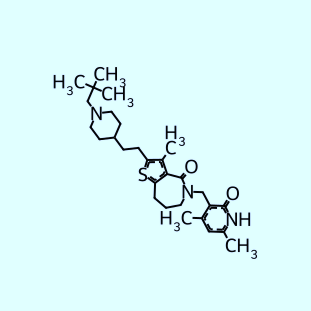 Cc1cc(C)c(CN2CCCc3sc(CCC4CCN(CC(C)(C)C)CC4)c(C)c3C2=O)c(=O)[nH]1